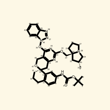 CC(C)(C)OC(=O)Nc1ccc2c(c1)[C@]1(CCC2)Cc2nc(OC[C@@]34CCCN3C[C@H](F)C4)nc(On3nnc4ccccc43)c2CO1